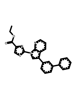 CCOC(=O)c1csc(-n2cc(-c3cccc(-c4ccccc4)c3)c3cccnc32)n1